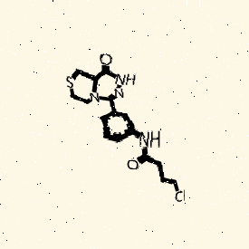 O=C(CCCCl)Nc1cccc(C2=NNC(=O)C3CSCCN23)c1